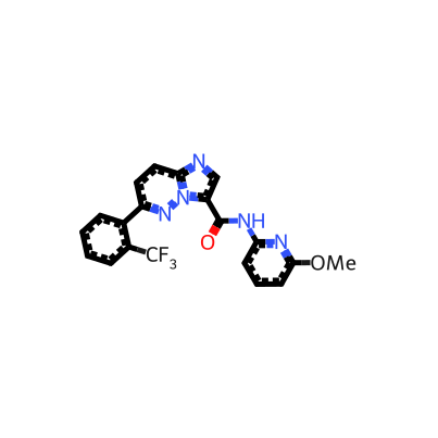 COc1cccc(NC(=O)c2cnc3ccc(-c4ccccc4C(F)(F)F)nn23)n1